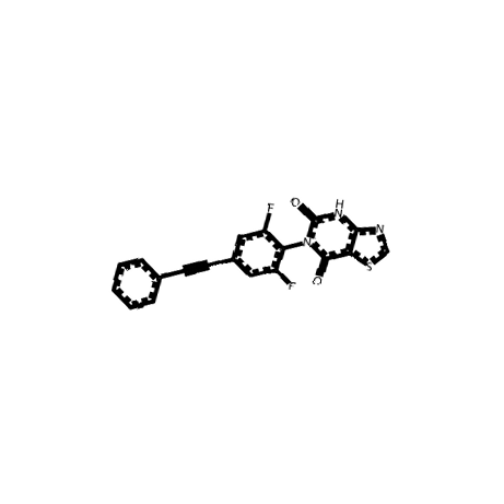 O=c1[nH]c2ncsc2c(=O)n1-c1c(F)cc(C#Cc2ccccc2)cc1F